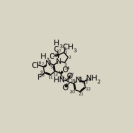 CC1CCN(c2nc(Cl)c(F)cc2C(=O)NS(=O)(=O)c2cccc(N)n2)C1(C)C